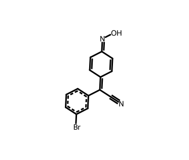 N#CC(=C1C=CC(=NO)C=C1)c1cccc(Br)c1